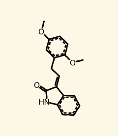 COc1ccc(OC)c(CC=C2C(=O)Nc3ccccc32)c1